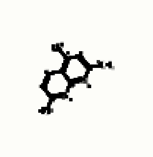 Cc1cc(Cl)c2ccc(O)nc2n1